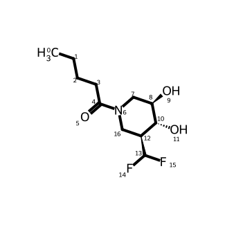 CCCCC(=O)N1C[C@@H](O)[C@H](O)[C@@H](C(F)F)C1